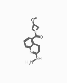 COC1CN(C(=O)c2cccc3nc(NN)ccc23)C1